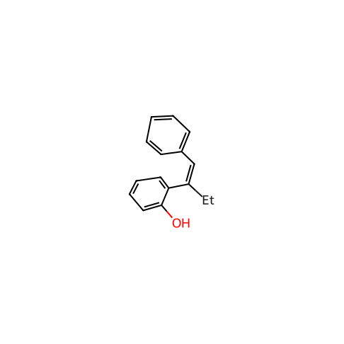 CCC(=Cc1ccccc1)c1ccccc1O